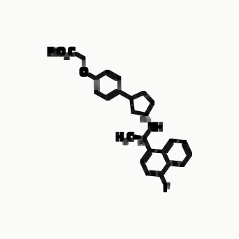 CCOC(=O)COc1ccc(C2CC[C@H](N[C@H](C)c3ccc(F)c4ccccc34)C2)cc1